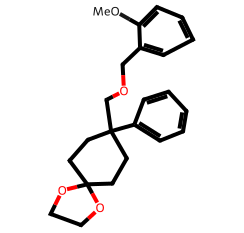 COc1ccccc1COCC1(c2ccccc2)CCC2(CC1)OCCO2